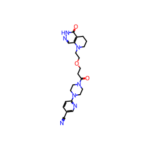 N#Cc1ccc(N2CCN(C(=O)CCOCCN3CCCc4c3cn[nH]c4=O)CC2)nc1